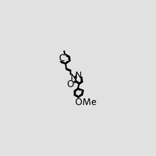 COc1ccc(-c2ccnn(CC=Cc3ccc(C)cc3)c2=O)cc1